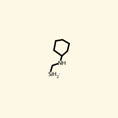 [SiH2]CNC1CCCCC1